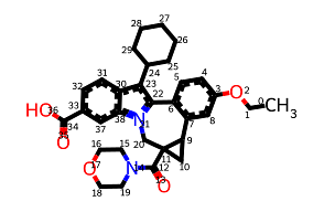 CCOc1ccc2c(c1)C1CC1(C(=O)N1CCOCC1)Cn1c-2c(C2CCCCC2)c2ccc(C(=O)O)cc21